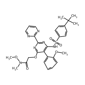 COc1ccccc1-c1c(NS(=O)(=O)c2ccc(C(C)(C)C)cc2)nc(-c2ncccn2)nc1OCC(=O)N(C)OC